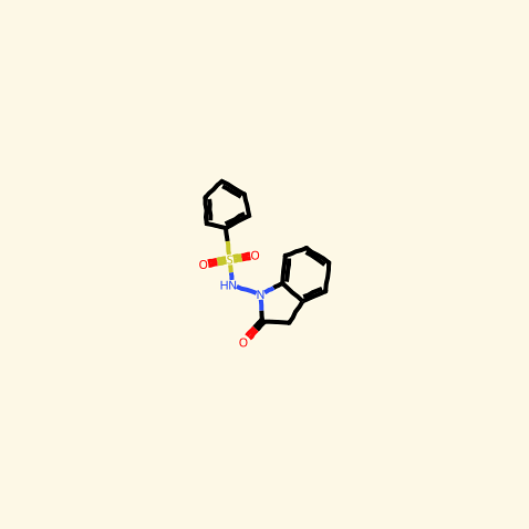 O=C1Cc2ccccc2N1NS(=O)(=O)c1ccccc1